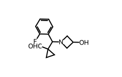 O=CC1(C(c2ccccc2F)N2CC(O)C2)CC1